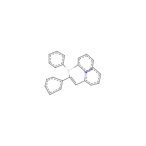 C(=C(/B(c1ccccc1)c1ccccc1)c1ccccc1)/c1ccccn1